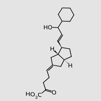 O=C(O)C(=O)CC/C=C1\C[C@@H]2CC[C@H](/C=C/C(O)C3CCCCC3)[C@H]2C1